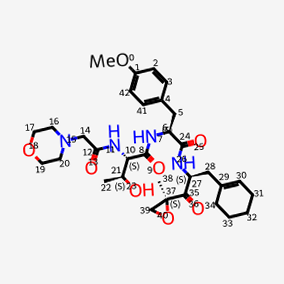 COc1ccc(C[C@H](NC(=O)[C@@H](NC(=O)CN2CCOCC2)[C@H](C)O)C(=O)N[C@@H](CC2=CCCCC2)C(=O)[C@]2(C)CO2)cc1